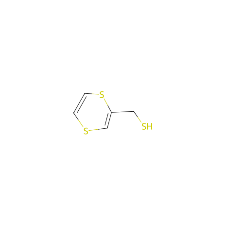 SCC1=CSC=CS1